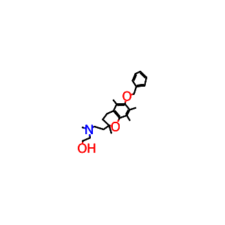 Cc1c(C)c2c(c(C)c1OCc1ccccc1)CCC(C)(CCN(C)CCO)O2